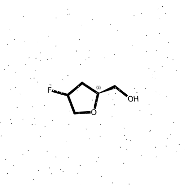 OC[C@@H]1CC(F)CO1